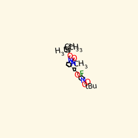 Cn1c(=O)n(COCC[Si](C)(C)C)c2cccc([C@H]3C[C@H](CO[C@@H]4CCN(C(=O)OC(C)(C)C)C[C@@H]4F)C3)c21